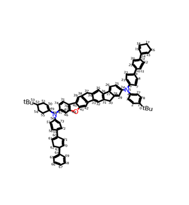 CC(C)(C)c1ccc(N(c2ccc(-c3ccc(C4=CCCC=C4)cc3)cc2)c2ccc3c(c2)Cc2cc4c(cc2-3)Cc2cc3c(cc2-4)oc2cc(N(C4=CCC(C(C)(C)C)CC4)c4ccc(C5=CCC(c6ccccc6)C=C5)cc4)ccc23)cc1